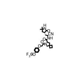 CC1(C)C[C@@H](C[C@@H](C#N)NC(=O)C2CC3(CCC3)CN2C(=O)COc2ccc(OC(F)(F)F)cc2)C(=O)N1